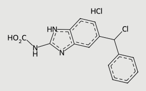 Cl.O=C(O)Nc1nc2cc(C(Cl)c3ccccc3)ccc2[nH]1